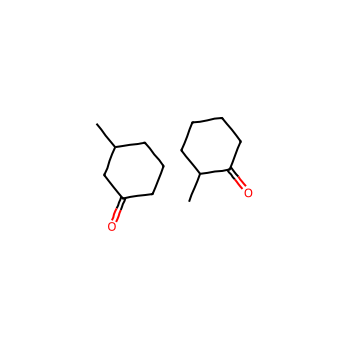 CC1CCCC(=O)C1.CC1CCCCC1=O